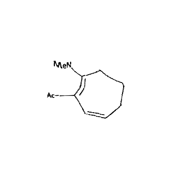 CNC1=C(C(C)=O)C=CCCC1